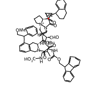 COCC(c1ccccc1)c1cccc2c1C[C@@H](C(=O)NCN(C(=O)C1CC1)[N@+]1(CC(C)(C)[C@@H](C=O)NC(=O)C(C)CNC(=O)O)CCC[C@H]1C(=O)N[C@@H]1CCCc3ccccc31)N(C(=O)[C@@H](NC(=O)OCC1c3ccccc3-c3ccccc31)C(C)(C)C)C2